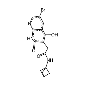 O=C(Cc1c(O)c2cc(Br)cnc2[nH]c1=O)NC12CC(C1)C2